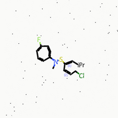 CC(C)/C=C(\C=C/CCl)SN(C)C1=C=CC(F)=CC=C1